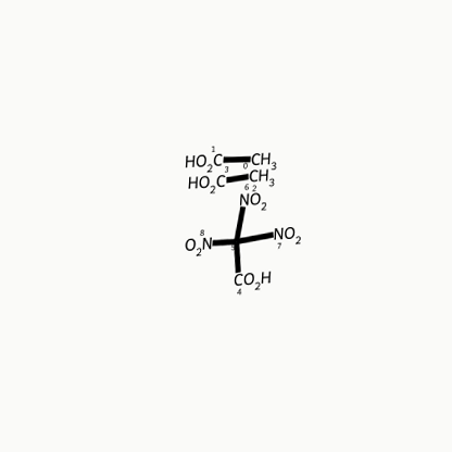 CC(=O)O.CC(=O)O.O=C(O)C([N+](=O)[O-])([N+](=O)[O-])[N+](=O)[O-]